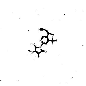 COC1=C(C)C(=O)N(c2cc(C(F)(F)F)c(/C(C)=C\C#N)cn2)C1O